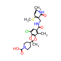 CSc1cc(C)[nH]c(=O)c1CNC(=O)c1cc(Cl)c2c(c1C)OC(C)(C1CCN(C(=O)O)CC1)O2